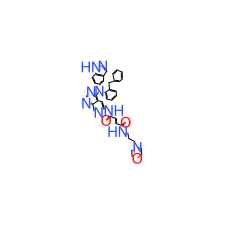 O=C(C=CC(=O)Nc1cc2c(N(c3ccc4[nH]ncc4c3)c3ccccc3Cc3ccccc3)ncnc2cn1)NCCCN1CCOCC1